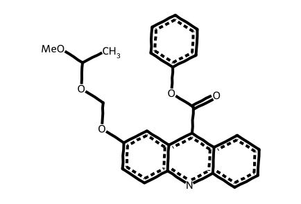 COC(C)OCOc1ccc2nc3ccccc3c(C(=O)Oc3ccccc3)c2c1